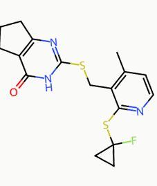 Cc1ccnc(SC2(F)CC2)c1CSc1nc2c(c(=O)[nH]1)CCC2